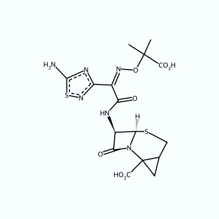 CC(C)(O/N=C(\C(=O)N[C@@H]1C(=O)N2[C@@H]1SCC1CC12C(=O)O)c1nsc(N)n1)C(=O)O